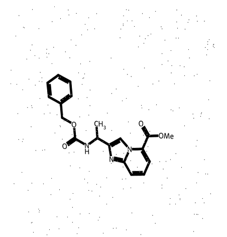 COC(=O)c1cccc2nc(C(C)NC(=O)OCc3ccccc3)cn12